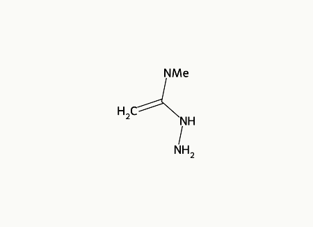 C=C(NC)NN